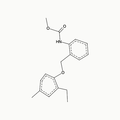 CCc1cc(C)ccc1OCc1ccccc1NC(=O)OC